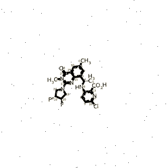 Cc1cc([C@H](C)Nc2ccc(Cl)nc2C(=O)O)c2nc(N3C[C@@H](F)[C@H](F)C3)n(C)c(=O)c2c1